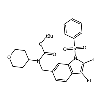 CCc1c(I)n(S(=O)(=O)c2ccccc2)c2cc(CN(C(=O)OC(C)(C)C)C3CCOCC3)ccc12